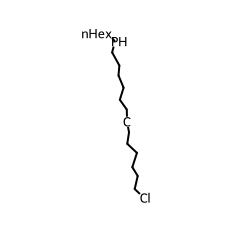 CCCCCCPCCCCCCCCCCCCCCl